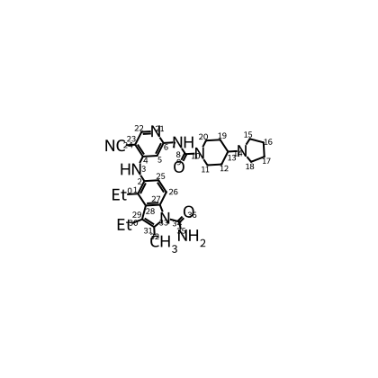 CCc1c(Nc2cc(NC(=O)N3CCC(N4CCCC4)CC3)ncc2C#N)ccc2c1c(CC)c(C)n2C(N)=O